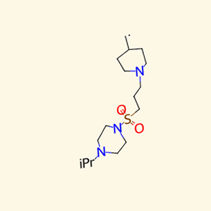 [CH2]C1CCN(CCCS(=O)(=O)N2CCN(C(C)C)CC2)CC1